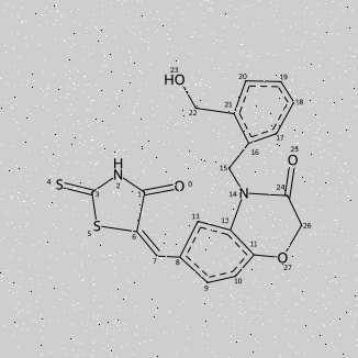 O=C1NC(=S)SC1=Cc1ccc2c(c1)N(Cc1ccccc1CO)C(=O)CO2